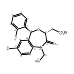 CCOC(=O)C[C@H]1O[C@H](c2ccccc2Cl)c2cc(Cl)ccc2N(CC(C)(C)C)C1=O